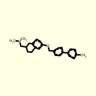 Cc1ccc(-c2ccc(COc3ccc4c(c3)CCC(CN(C)C)C4)cc2)cc1